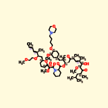 C/C=C/C=C(\C)C(C[C@@H]1CC[C@@H](C)[C@](O)(C(=O)C(=O)N2CCCCC2C(=O)O[C@@H](CC(=O)[C@H](C)/C=C(\C)[C@@H](O)[C@@H](OC)C(=O)[C@H](C)CC(C)C)[C@H](C)C[C@@H]2CC[C@@H](OCCCCN3CCOCC3)[C@H](OC)C2)O1)OCCOC